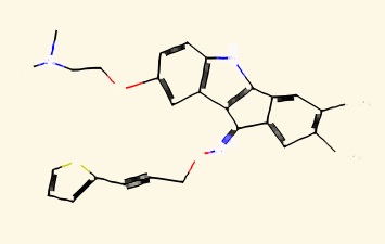 COc1cc2c(cc1OC)-c1[nH]c3ccc(OCCN(C)C)cc3c1/C2=N\OCC#Cc1cccs1.Cl